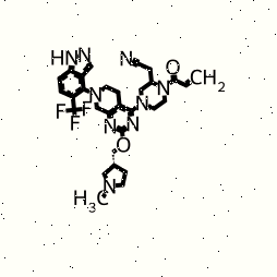 C=CC(=O)N1CCN(c2nc(OC[C@@H]3CCN(C)C3)nc3c2CCN(c2c(C(F)(F)F)ccc4[nH]ncc24)C3)CC1CC#N